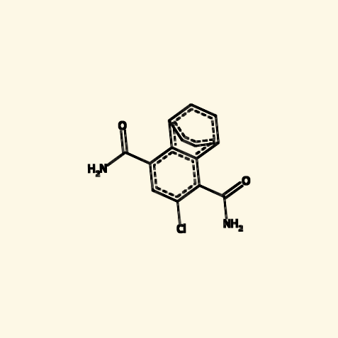 NC(=O)c1cc(Cl)c(C(N)=O)c2c3ccc(cc3)c12